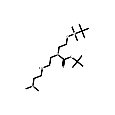 CN(C)CCNCCN(CCO[Si](C)(C)C(C)(C)C)C(=O)OC(C)(C)C